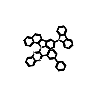 c1ccc(-c2cccc(-c3nc4ccccc4nc3-n3c4ccc(-n5c6ccccc6c6ccccc65)cc4c4ccc5ccccc5c43)c2)cc1